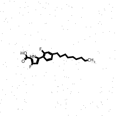 CCCCCCCCCc1ccc(-c2cc(F)c(C(=O)O)[nH]2)c(F)c1